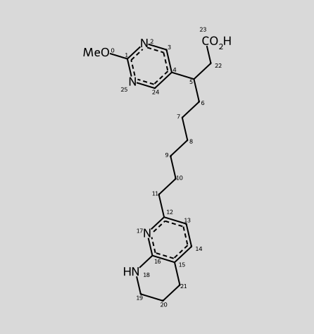 COc1ncc(C(CCCCCCc2ccc3c(n2)NCCC3)CC(=O)O)cn1